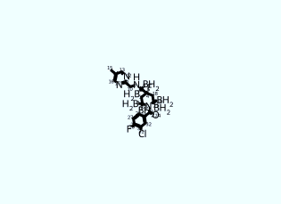 BC1(B)CC(F)(C(B)(B)NCc2ncc(C)cn2)CC(B)(B)N1C(=O)c1ccc(F)c(Cl)c1